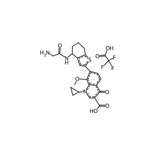 COc1c(-c2cc3c(s2)CCCC3NC(=O)CN)ccc2c(=O)c(C(=O)O)cn(C3CC3)c12.O=C(O)C(F)(F)F